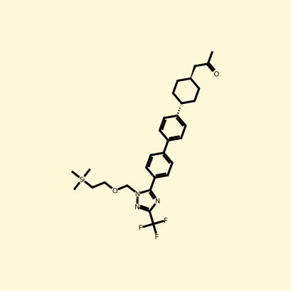 CC(=O)C[C@H]1CC[C@H](c2ccc(-c3ccc(-c4nc(C(F)(F)F)nn4COCC[Si](C)(C)C)cc3)cc2)CC1